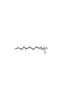 CCCCCCCCCC[SiH](C)[O]